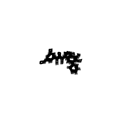 O=C(Nc1cc(Cl)cc(Cl)c1)Nc1n[nH]c2c(F)c(Cl)c(-c3ccccc3)cc12